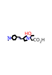 C=C(O)C(CC(=O)O)[n+]1ccc(/C=C/c2ccc(N(C)C)cc2)cc1